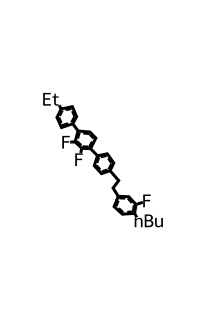 CCCCc1ccc(CCc2ccc(-c3ccc(-c4ccc(CC)cc4)c(F)c3F)cc2)cc1F